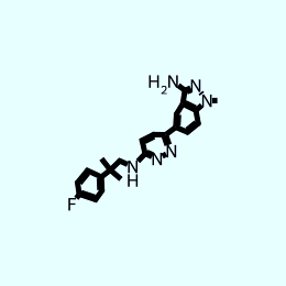 Cn1nc(N)c2cc(-c3ccc(NCC(C)(C)c4ccc(F)cc4)nn3)ccc21